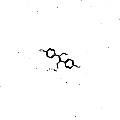 CC/C(=C(/CC)c1ccc(O)cc1)c1ccc(O)cc1.CO